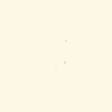 [2H]C1NC([2H])([2H])C([2H])([2H])c2c1o[nH]c2=O